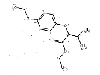 CCOC(=O)C(Oc1ccc(OCC)cc1)C(C)C